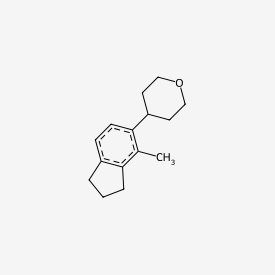 Cc1c(C2CCOCC2)ccc2c1CCC2